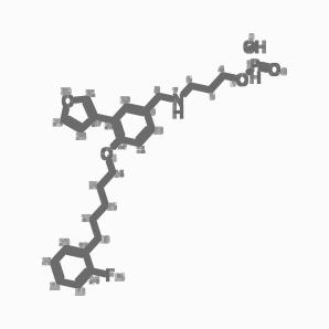 O=[PH](O)OCCCNCc1ccc(OCCCCCc2ccccc2F)c(-c2ccoc2)c1